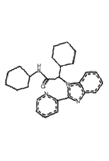 O=C(NC1CCCCC1)C(C1CCCCC1)n1c(-c2ccccn2)nc2ccccc21